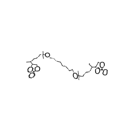 CC(CCCC(C)(C)OCCCCCCCCOC(C)(C)CCCC(C)C1COC(=O)O1)C1COC(=O)O1